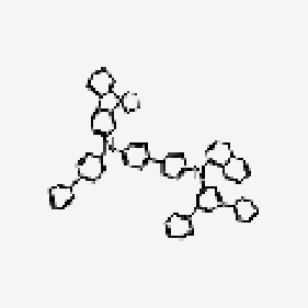 C1=CC2=C(N(c3ccc(-c4ccc(N(c5ccc(-c6ccccc6)cc5)c5ccc6c(c5)C5(CCCC5)c5ccccc5-6)cc4)cc3)c3cc(-c4ccccc4)cc(-c4ccccc4)c3)C=CCC2C=C1